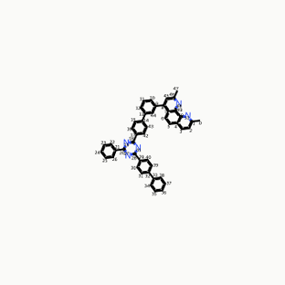 Cc1ccc2ccc3c(-c4cccc(-c5ccc(-c6nc(-c7ccccc7)nc(-c7ccc(-c8ccccc8)cc7)n6)cc5)c4)cc(C)nc3c2n1